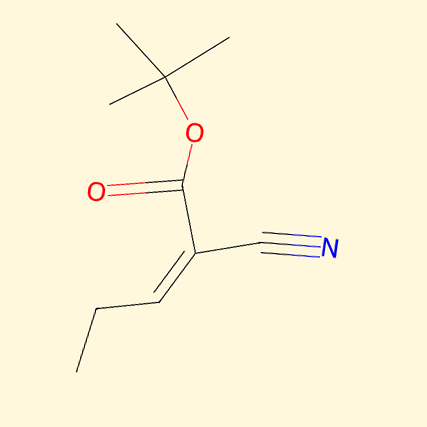 CCC=C(C#N)C(=O)OC(C)(C)C